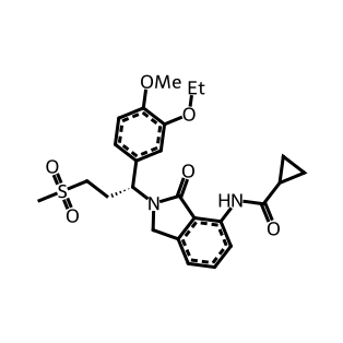 CCOc1cc([C@@H](CCS(C)(=O)=O)N2Cc3cccc(NC(=O)C4CC4)c3C2=O)ccc1OC